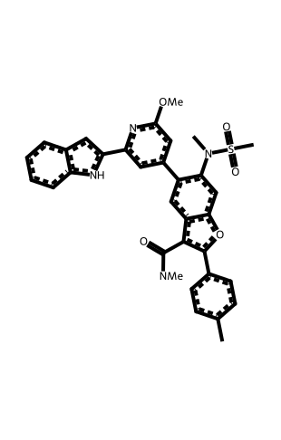 CNC(=O)c1c(-c2ccc(C)cc2)oc2cc(N(C)S(C)(=O)=O)c(-c3cc(OC)nc(-c4cc5ccccc5[nH]4)c3)cc12